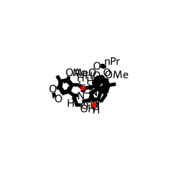 CCCC(=O)Oc1cc2c(cc1OC)[C@@]1(CS[C@@H]3c4c(OC(C)=O)c(C)c5c(c4[C@H](COC1=O)N1C3[C@@H]3N[C@H](Cc4cc(C)c(OC)c(O)c43)[C@@H]1O)OCO5)NCC2